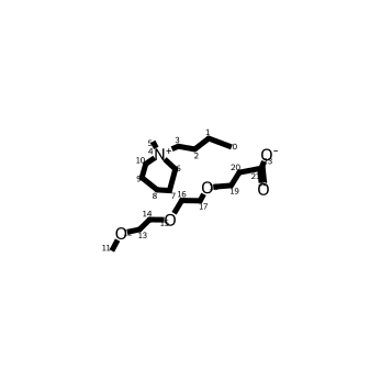 CCCC[N+]1(C)CCCCC1.COCCOCCOCCC(=O)[O-]